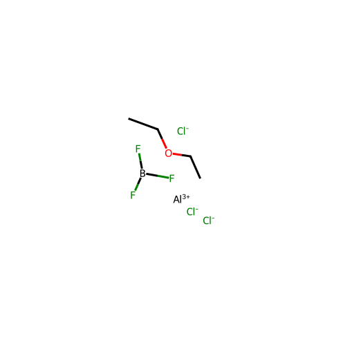 CCOCC.FB(F)F.[Al+3].[Cl-].[Cl-].[Cl-]